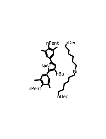 CCCCCCCCCCCCCCC[CH2][Ni][CH2]CCCCCCCCCCCCCCC.CCCCCc1c(C)cc(C2=CC(CCCC)=C(c3cc(C)c(CCCCC)c(C)c3)[N+]2=[N-])cc1C